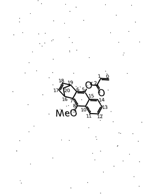 C=CC(=O)Oc1c2c(c(OC)c3ccccc13)C1C=CC2C1